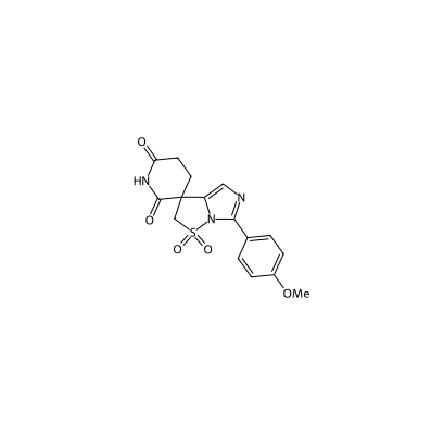 COc1ccc(-c2ncc3n2S(=O)(=O)CC32CCC(=O)NC2=O)cc1